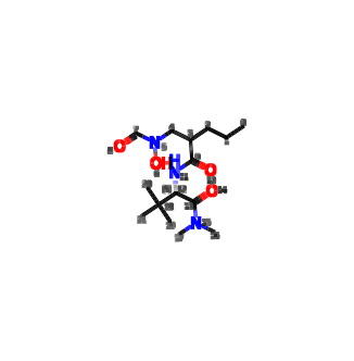 CCCC(CN(O)C=O)C(=O)N[C@H](C(=O)N(C)C)C(C)(C)C